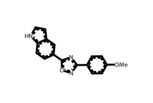 COc1ccc(-c2noc(-c3ccc4[nH]ccc4c3)n2)cc1